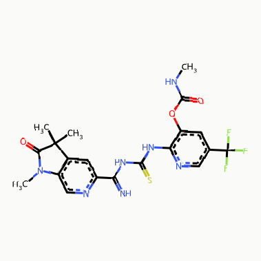 CNC(=O)Oc1cc(C(F)(F)F)cnc1NC(=S)NC(=N)c1cc2c(cn1)N(C)C(=O)C2(C)C